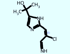 CC(C)(O)c1cnc(/C=C(/Cl)C=N)[nH]1